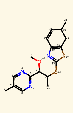 CO[C@H](c1ncc(C)cn1)[C@H](C)Sc1nc2c(s1)CC(C)C=C2